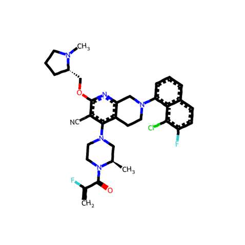 C=C(F)C(=O)N1CCN(c2c(C#N)c(OC[C@@H]3CCCN3C)nc3c2CCN(c2cccc4ccc(F)c(Cl)c24)C3)C[C@H]1C